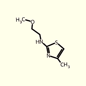 COCCNc1nc(C)cs1